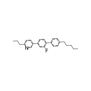 CCCCCc1ccc(-c2ccc(-c3ccc(CCC)nc3)cc2F)cc1